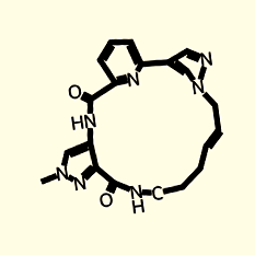 Cn1cc2c(n1)C(=O)NCCC/C=C/Cn1cc(cn1)-c1cccc(n1)C(=O)N2